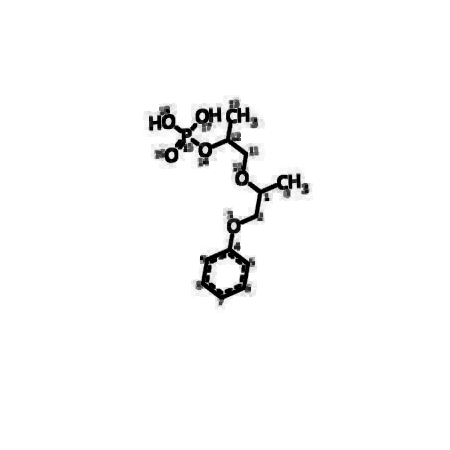 CC(COc1ccccc1)OCC(C)OP(=O)(O)O